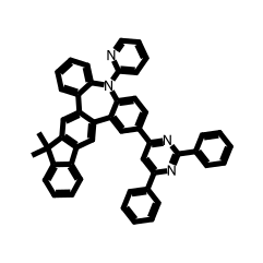 CC1(C)c2ccccc2-c2cc3c(cc21)-c1ccccc1N(c1ccccn1)c1ccc(-c2cc(-c4ccccc4)nc(-c4ccccc4)n2)cc1-3